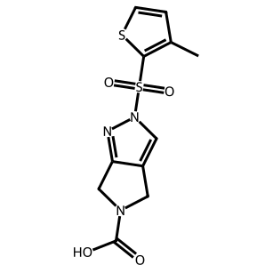 Cc1ccsc1S(=O)(=O)n1cc2c(n1)CN(C(=O)O)C2